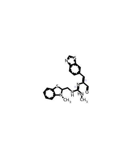 CN/C(=N\C(C=O)=C/c1ccc2ncsc2c1)NCC1Sc2ccccc2N1C